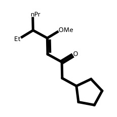 CCCC(CC)/C(=C/C(=O)CC1CCCC1)OC